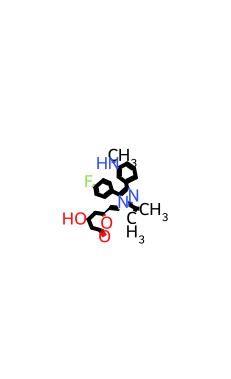 CNc1cccc(-c2nc(C(C)C)n(/C=C/[C@@H]3C[C@@H](O)CC(=O)O3)c2-c2ccc(F)cc2)c1